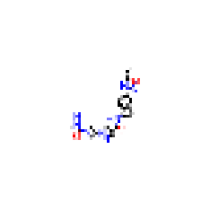 CCc1nc(-c2ccc3c(c2)CC[C@H]3NC(=O)c2cnn(C3CN(C(=O)NC)C3)c2)no1